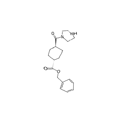 O=C(OCc1ccccc1)[C@H]1CC[C@H](C(=O)N2CCNCC2)CC1